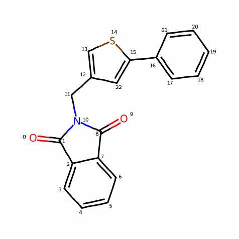 O=C1c2ccccc2C(=O)N1Cc1csc(-c2ccccc2)c1